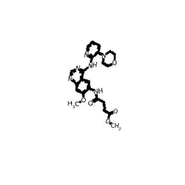 COC(=O)CCC(=O)Nc1cc2c(Nc3ncccc3N3CCOCC3)ncnc2cc1OC